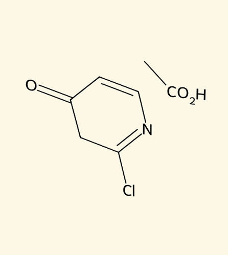 CC(=O)O.O=C1C=CN=C(Cl)C1